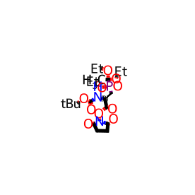 CCOC(C)(OCC)P(=O)(C[C@H](NC(=O)OC(C)(C)C)C(=O)ON1C(=O)CCC1=O)OCC